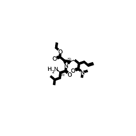 C=CCC(C[C@H]1C(C(=O)OCC)N1C(=O)[C@@H](N)CC(C)C)C(=O)N(C)C